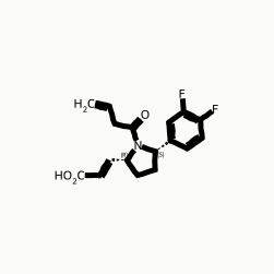 C=CCC(=O)N1[C@@H](C=CC(=O)O)CC[C@H]1c1ccc(F)c(F)c1